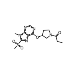 CCC(=O)N1CC[C@H](Oc2ncnc3c2nc(S(C)(=O)=O)n3C)C1